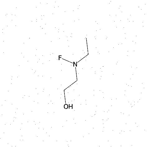 CCN(F)CCO